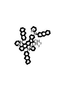 CC1(C)c2cc(N(c3ccc4cc5ccccc5cc4c3)c3ccccn3)ccc2-c2cc3c(N(c4ccc5cc6ccccc6cc5c4)c4ccccn4)c4ccccc4c(N(c4ccc5cc6ccccc6cc5c4)c4ccccn4)c3cc21